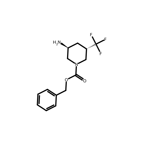 N[C@H]1C[C@H](C(F)(F)F)CN(C(=O)OCc2ccccc2)C1